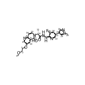 COCCOc1cnc2c(c1)C(O)N([C@H](C)C(=O)NNc1ncc(-c3cnn(C)c3)cc1F)C=C2